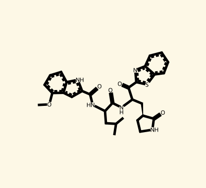 COc1cccc2[nH]c(C(=O)NC(CC(C)C)C(=O)NC(C[C@@H]3CCNC3=O)C(=O)c3nc4ccccc4s3)cc12